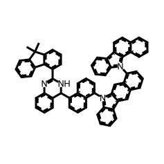 CC1(C)c2ccccc2-c2c(C3=Nc4ccccc4C(c4cccc5c(-n6c7ccccc7c7cc8cccc(-n9c%10ccccc%10c%10ccc%11ccccc%11c%109)c8cc76)cccc45)N3)cccc21